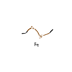 CSSC.[Fe]